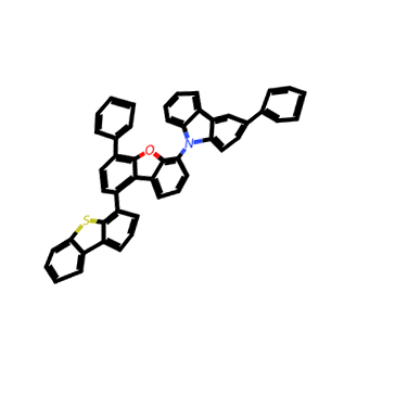 c1ccc(-c2ccc3c(c2)c2ccccc2n3-c2cccc3c2oc2c(-c4ccccc4)ccc(-c4cccc5c4sc4ccccc45)c23)cc1